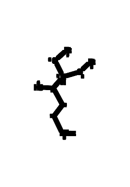 CCCCCCCCC(S)[SiH](OCC)OCC